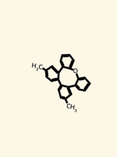 Cc1ccc2c(c1)c1ccccc1oc1ccccc1c1cc(C)ccc12